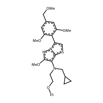 CCOCCN(CC1CC1)c1c(OC)nn2c(-c3c(OC)cc(COC)cc3OC)csc12